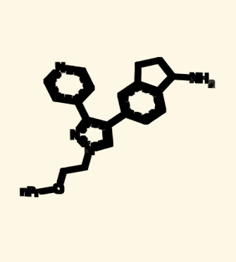 CCCOCCn1cc(-c2ccc3c(c2)CCC3N)c(-c2ccncc2)n1